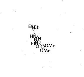 CCN(CC)CCCCNc1nnc2cc(-c3cc(OC)cc(OC)c3)c(=O)n(CC)c2n1